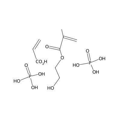 C=C(C)C(=O)OCCO.C=CC(=O)O.O=P(O)(O)O.O=P(O)(O)O